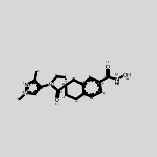 Cc1nn(C)cc1N1CC[C@]2(CCc3ccc(C(=O)NO)cc3C2)C1=O